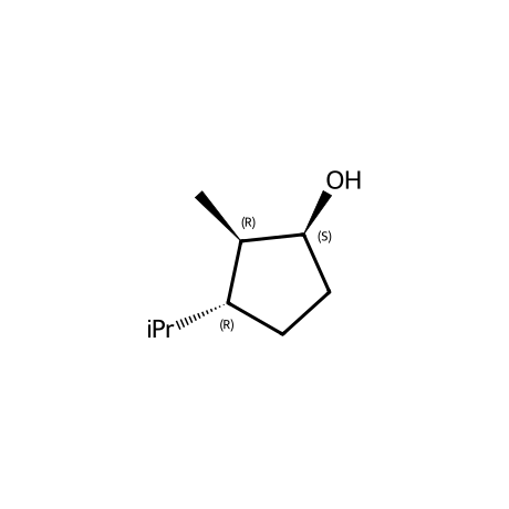 CC(C)[C@H]1CC[C@H](O)[C@@H]1C